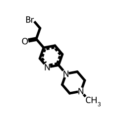 CN1CCN(c2ccc(C(=O)CBr)cn2)CC1